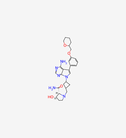 NC(=O)[C@H]1[C@@H](O)CCN1CC1CC(n2cc(-c3cccc(OCC4CCCCO4)c3)c3c(N)ncnc32)C1